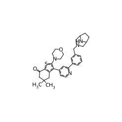 CC1(C)CC(=O)c2sc(N3CCOCC3)c(-c3ccnc(-c4cccc(CN5CC6CCC(C5)N6)c4)c3)c2C1